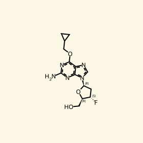 Nc1nc(OCC2CC2)c2ncn([C@H]3C[C@H](F)[C@@H](CO)O3)c2n1